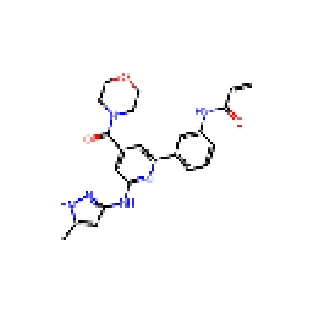 C=CC(=O)Nc1cccc(-c2cc(C(=O)N3CCOCC3)cc(Nc3cc(C)[nH]n3)n2)c1